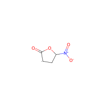 O=C1[CH]CC([N+](=O)[O-])O1